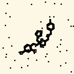 Cc1ccc(COCC2COC(CCc3ccc(Cl)cc3Cl)(Cn3ccnc3)O2)cc1